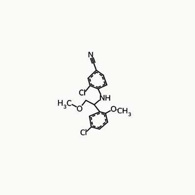 COCC(Nc1ccc(C#N)cc1Cl)c1cc(Cl)ccc1OC